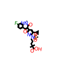 CNC(=O)c1c(-c2ccc(F)cc2)oc2nc(N(CCCC(C)(C)C(=O)O)S(C)(=O)=O)c(C3CC3)cc12